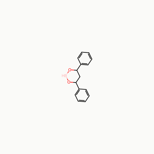 B1OC(c2ccccc2)CC(c2ccccc2)O1